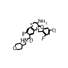 N[C@H]1CSc2cc(F)c(C(=O)NCC3CCOCC3)cc2N(Cc2ccc(Cl)cc2F)C1=O